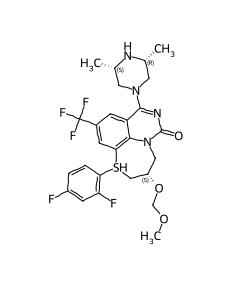 COCO[C@H]1Cn2c(=O)nc(N3C[C@@H](C)N[C@@H](C)C3)c3cc(C(F)(F)F)cc(c32)[SH](c2ccc(F)cc2F)C1